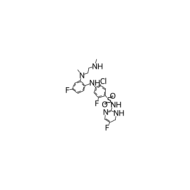 CNCCN(C)c1cc(F)ccc1Nc1cc(F)c(S(=O)(=O)NC2=NC=C(F)CN2)cc1Cl